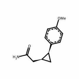 COc1ccc([C@H]2C[C@H]2CC(N)=O)cc1